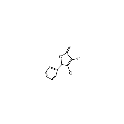 C=C1OC(c2ccccc2)C(Cl)=C1Cl